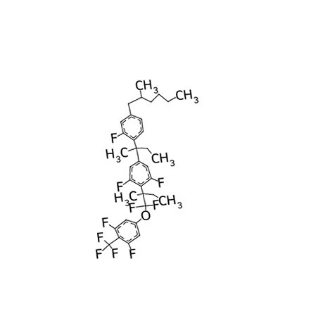 CCCCC(C)Cc1ccc(C(C)(CC)c2cc(F)c(C(C)(CC)C(F)(F)Oc3cc(F)c(C(F)(F)F)c(F)c3)c(F)c2)c(F)c1